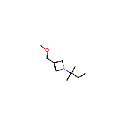 CCC(C)(C)N1CC(COC)C1